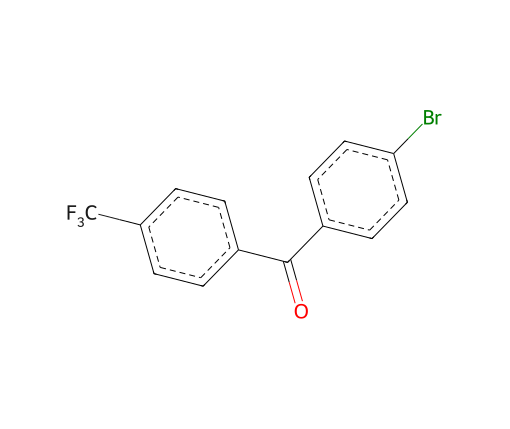 O=C(c1ccc(Br)cc1)c1ccc(C(F)(F)F)cc1